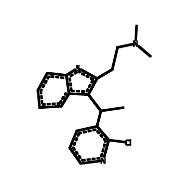 CC(c1cccnc1Cl)c1c(CCN(C)C)sc2ccccc12